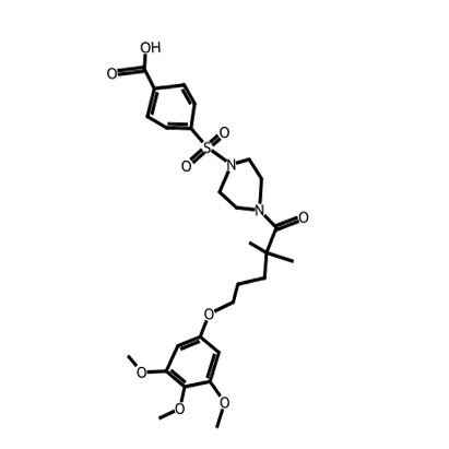 COc1cc(OCCCC(C)(C)C(=O)N2CCN(S(=O)(=O)c3ccc(C(=O)O)cc3)CC2)cc(OC)c1OC